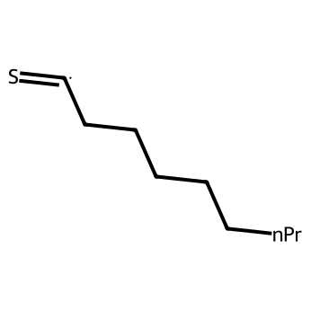 CCCCCCCC[C]=S